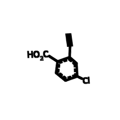 C#Cc1cc(Cl)ccc1C(=O)O